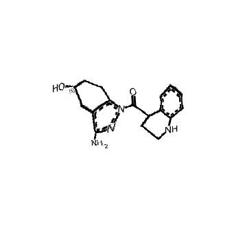 Nc1nn(C(=O)C2CCNc3ccccc32)c2c1C[C@@H](O)CC2